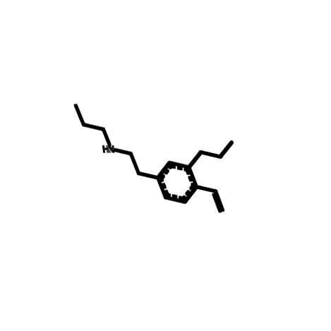 C=Cc1ccc(CCNCCC)cc1CCC